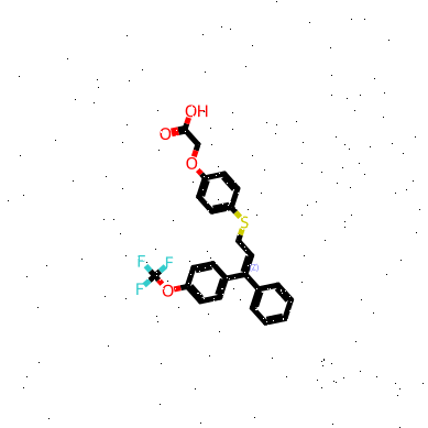 O=C(O)COc1ccc(SC/C=C(/c2ccccc2)c2ccc(OC(F)(F)F)cc2)cc1